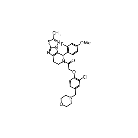 COc1ccc(C2c3c(nc4sc(C)nn34)CCN2C(=O)COc2ccc(CN3CCOCC3)cc2Cl)c(F)c1